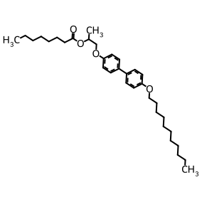 CCCCCCCCCCCOc1ccc(-c2ccc(OCC(C)OC(=O)CCCCCCC)cc2)cc1